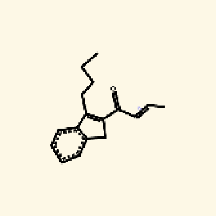 C/C=C/C(=O)C1=C(CCCC)c2ccccc2C1